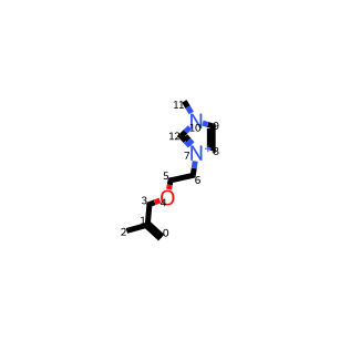 C=C(C)COCC[n+]1ccn(C)c1